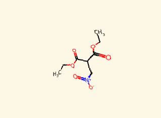 CCOC(=O)C(C[N+](=O)[O-])C(=O)OCC